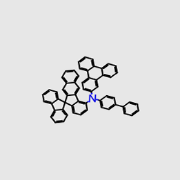 c1ccc(-c2ccc(N(c3ccc4c5ccccc5c5ccccc5c4c3)c3cccc4c3-c3cc5ccccc5cc3C43c4ccccc4-c4ccccc43)cc2)cc1